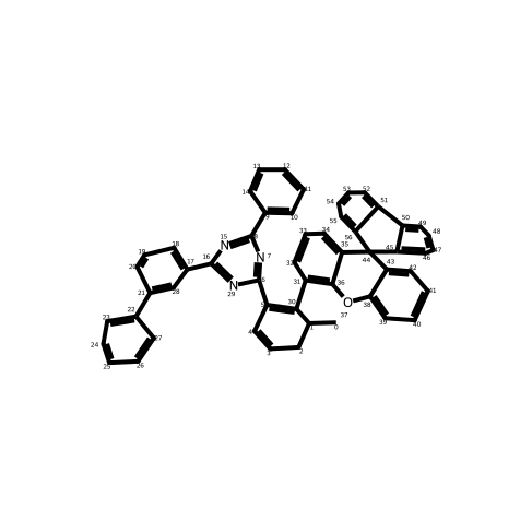 CC1CC=CC(c2nc(-c3ccccc3)nc(-c3cccc(-c4ccccc4)c3)n2)=C1c1cccc2c1Oc1ccccc1C21c2ccccc2-c2ccccc21